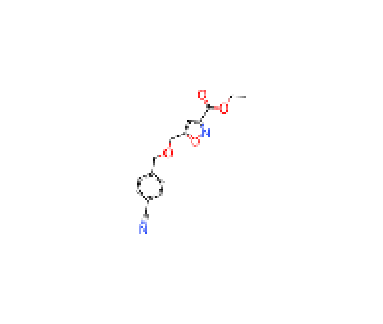 CCOC(=O)c1cc(COCc2ccc(C#N)cc2)on1